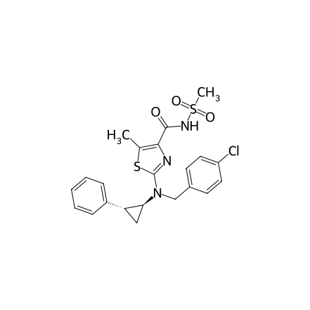 Cc1sc(N(Cc2ccc(Cl)cc2)[C@H]2C[C@@H]2c2ccccc2)nc1C(=O)NS(C)(=O)=O